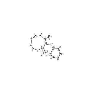 CCN1CCCCCC[C@]2(C)Cc3ccccc3CC12